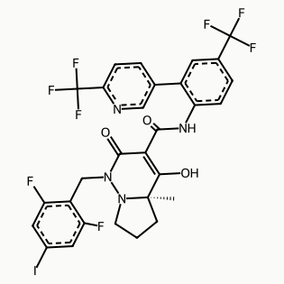 C[C@]12CCCN1N(Cc1c(F)cc(I)cc1F)C(=O)C(C(=O)Nc1ccc(C(F)(F)F)cc1-c1ccc(C(F)(F)F)nc1)=C2O